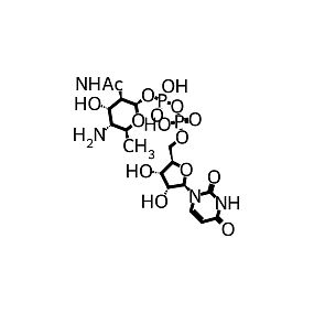 CC(=O)N[C@H]1[C@@H](OP(=O)(O)OP(=O)(O)OC[C@H]2O[C@@H](n3ccc(=O)[nH]c3=O)[C@H](O)[C@@H]2O)O[C@@H](C)[C@H](N)[C@@H]1O